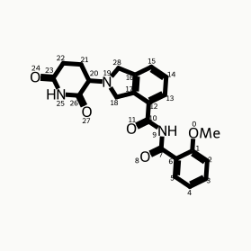 COc1ccccc1C(=O)NC(=O)c1cccc2c1CN(C1CCC(=O)NC1=O)C2